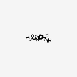 CCOC(=O)Cc1nc2cc(C(=O)OC(C)(C)C)ccc2o1